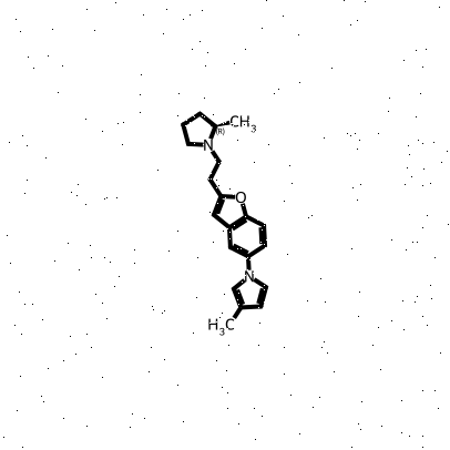 Cc1ccn(-c2ccc3oc(CCN4CCC[C@H]4C)cc3c2)c1